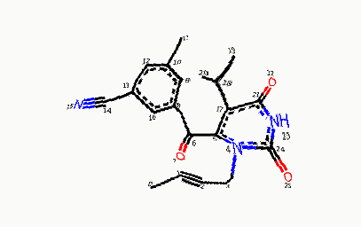 CC#CCn1c(C(=O)c2cc(C)cc(C#N)c2)c(C(C)C)c(=O)[nH]c1=O